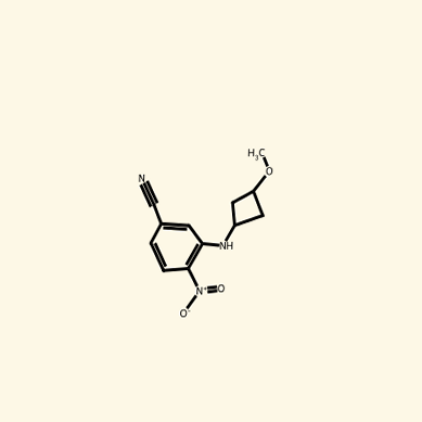 COC1CC(Nc2cc(C#N)ccc2[N+](=O)[O-])C1